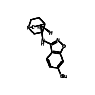 CC(C)(C)c1ccc2c(N[C@@H]3CN4CCC3CC4)noc2c1